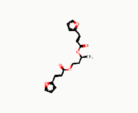 CC(CCOC(=O)C=Cc1ccco1)OC(=O)C=Cc1ccco1